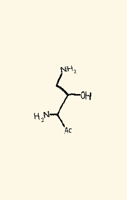 CC(=O)C(N)C(O)CN